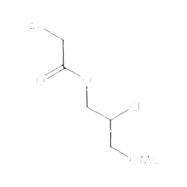 COCC(Cl)COC(=O)CC(C)=O